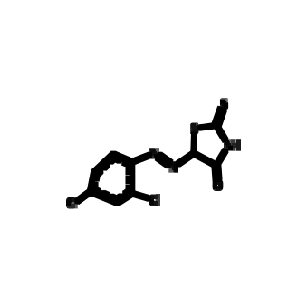 O=C1NC(=S)SC1N=Nc1ccc(Cl)cc1Cl